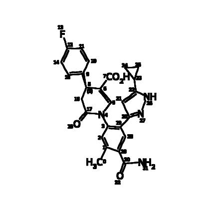 Cc1cc(N2C=C(C(=O)O)[C@H](c3ccc(F)cc3)CC2=O)c(-c2cc(C3CC3)[nH]n2)cc1C(N)=O